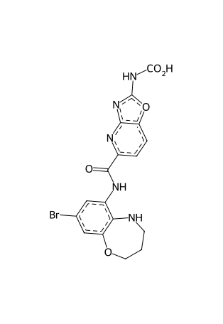 O=C(O)Nc1nc2nc(C(=O)Nc3cc(Br)cc4c3NCCCO4)ccc2o1